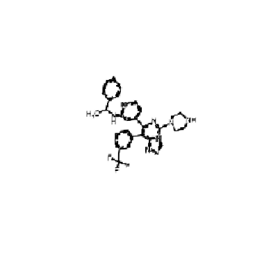 CC(Nc1cc(-c2nc(N3CCNCC3)n3cnnc3c2-c2cccc(C(F)(F)F)c2)ccn1)c1ccccc1